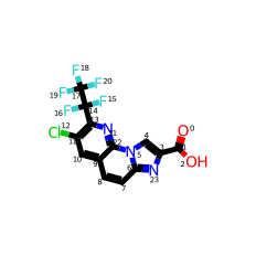 O=C(O)c1cn2c(ccc3cc(Cl)c(C(F)(F)C(F)(F)F)nc32)n1